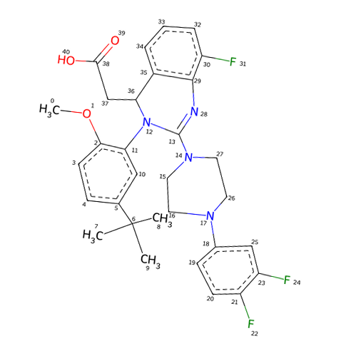 COc1ccc(C(C)(C)C)cc1N1C(N2CCN(c3ccc(F)c(F)c3)CC2)=Nc2c(F)cccc2C1CC(=O)O